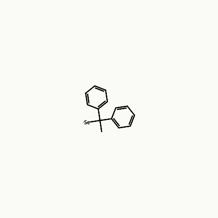 CC([Se])(c1ccccc1)c1ccccc1